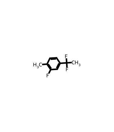 Cc1ccc(C(C)(F)F)cc1F